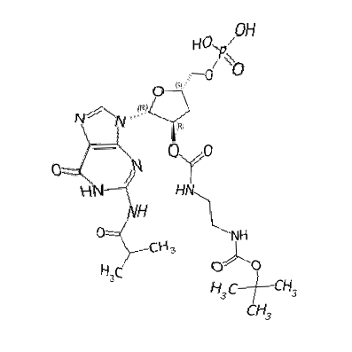 CC(C)C(=O)Nc1nc2c(ncn2[C@@H]2O[C@H](COP(=O)(O)O)C[C@H]2OC(=O)NCCNC(=O)OC(C)(C)C)c(=O)[nH]1